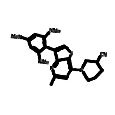 CNc1cc(NC)c(-c2csc3c(N4CCCC(C#N)C4)cc(C)nc23)c(NC)c1